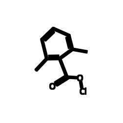 Cc1cccc(C)c1C(=O)OCl